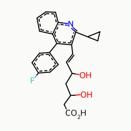 O=C(O)CC(O)CC(O)C=Cc1c(C2CC2)nc2ccccc2c1-c1ccc(F)cc1